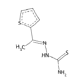 CC(=NNC(N)=S)c1cccs1